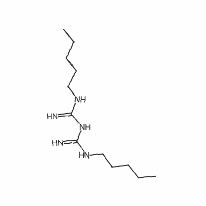 CCCCCNC(=N)NC(=N)NCCCCC